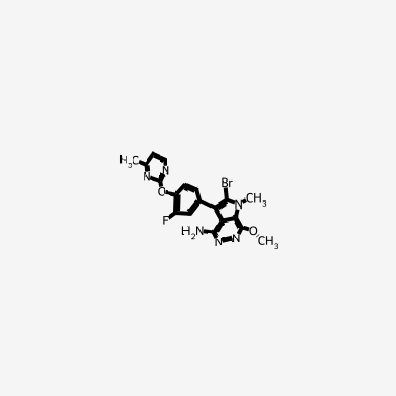 COc1nnc(N)c2c(-c3ccc(Oc4nccc(C)n4)c(F)c3)c(Br)n(C)c12